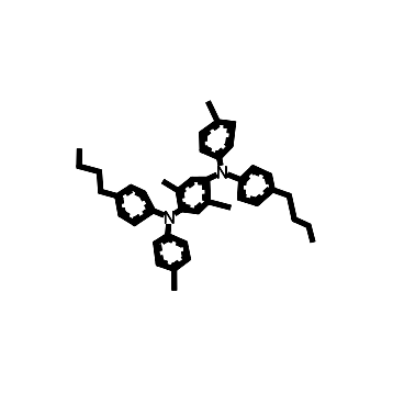 CCCCc1ccc(N(c2ccc(C)cc2)c2cc(C)c(N(c3ccc(C)cc3)c3ccc(CCCC)cc3)cc2C)cc1